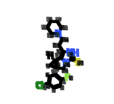 Fc1ccc(Cl)cc1[C@]12C[C@H]1c1c(CCN3CCCCC3)[nH]c(=S)n1C2